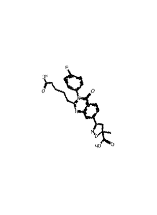 CC1(C(=O)O)CC(c2ccc3c(=O)n(-c4ccc(F)cc4)c(CCCCC(=O)O)nc3c2)=NO1